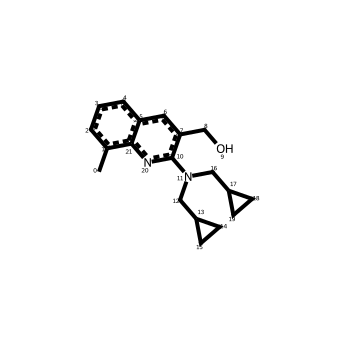 Cc1cccc2cc(CO)c(N(CC3CC3)CC3CC3)nc12